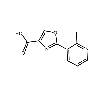 Cc1ncccc1-c1nc(C(=O)O)co1